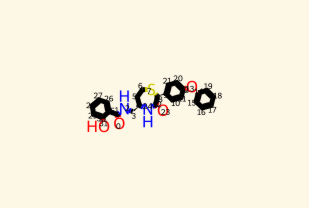 O=C(NC[C@@H]1CCS[C@H](c2ccc(Oc3ccccc3)cc2)C(=O)N1)c1ccccc1O